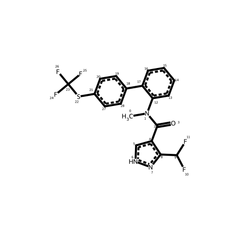 CN(C(=O)c1c[nH]nc1C(F)F)c1ccccc1-c1ccc(SC(F)(F)F)cc1